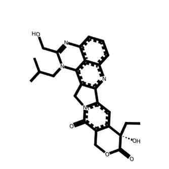 CC[C@@]1(O)C(=O)OCc2c1cc1n(c2=O)Cc2c-1nc1cccc3c1c2N(CC(C)C)C(CO)=N3